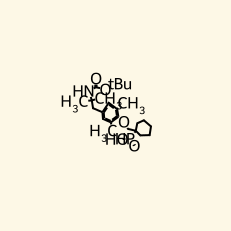 Cc1cc(CC(C)(C)NC(=O)OC(C)(C)C)cc(C)c1OCC1([PH](=O)O)CCCCC1